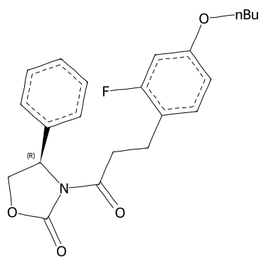 CCCCOc1ccc(CCC(=O)N2C(=O)OC[C@H]2c2ccccc2)c(F)c1